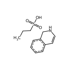 C1=Cc2ccccc2CN1.CCCS(=O)(=O)O